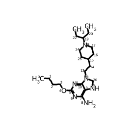 CCCCOc1nc(N)c2c(n1)N(CCC1CCN(C(CC)CC)CC1)CN2